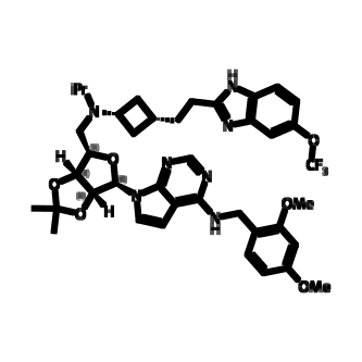 COc1ccc(CNc2ncnc3c2ccn3[C@@H]2O[C@H](CN(C(C)C)[C@H]3C[C@@H](CCc4nc5cc(OC(F)(F)F)ccc5[nH]4)C3)[C@H]3OC(C)(C)O[C@H]32)c(OC)c1